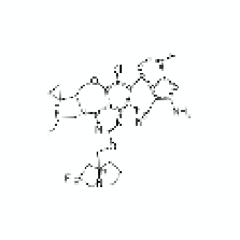 N#Cc1c(N)sc2c(F)ccc(-c3c(Cl)c4c5c(nc(OC[C@@]67CCCN6C[C@H](F)C7)nc5c3F)N(CC(F)F)C(C3(F)CC3)CO4)c12